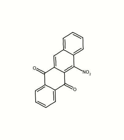 O=C1c2ccccc2C(=O)c2c1cc1ccccc1c2[N+](=O)[O-]